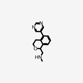 CNCC1OCCc2c(-c3cncnc3)cccc21